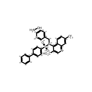 NO.O=C(O)c1cnc2cc(C(F)(F)F)ccc2c1N(Cc1cccnc1)S(=O)(=O)c1ccc(-c2ccccc2)cc1